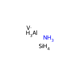 N.[AlH3].[SiH4].[V]